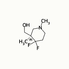 CN1CCC(F)(F)[C@@](C)(CO)C1